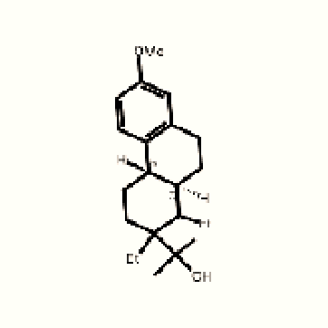 CCC1[C@@H]2CCc3cc(OC)ccc3[C@H]2CCC1(CC)C(C)(C)O